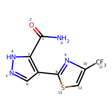 NC(=O)c1[nH]ncc1-c1nc(C(F)(F)F)cs1